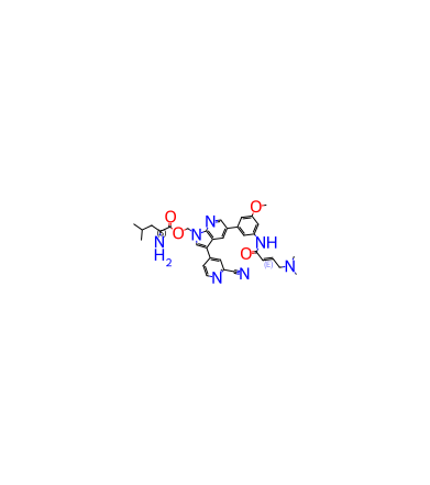 COc1cc(NC(=O)/C=C/CN(C)C)cc(-c2cnc3c(c2)c(-c2ccnc(C#N)c2)cn3COC(=O)[C@@H](N)CC(C)C)c1